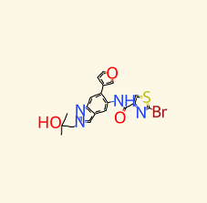 CC(C)(O)Cn1cc2cc(NC(=O)c3csc(Br)n3)c(-c3ccoc3)cc2n1